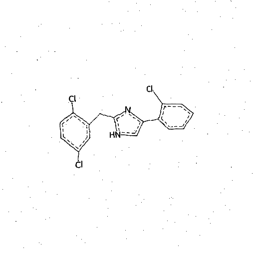 Clc1ccc(Cl)c(Cc2nc(-c3ccccc3Cl)c[nH]2)c1